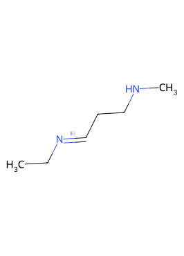 CC/N=C/CCNC